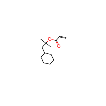 C=CC(=O)OC(C)(C)CC1CCCCC1